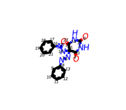 O=C1NC(=O)C(N=Nc2ccccc2)(N=Nc2ccccc2)C(=O)N1